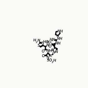 N=C(NCc1cnn(C[C@@H]2[C@H](NC(=O)C(NOC3(C(=O)O)CC3)c3csc(N)n3)C(=O)N2S(=O)(=O)O)n1)N[C@H]1CCNC1